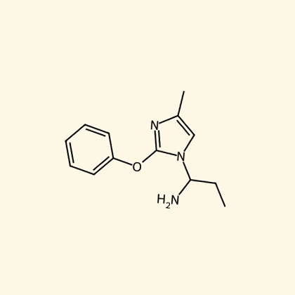 CCC(N)n1cc(C)nc1Oc1ccccc1